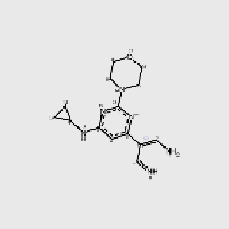 N=C/C(=C\N)c1cc(NC2CC2)nc(N2CCOCC2)n1